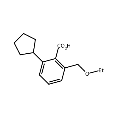 CCOCc1cccc(C2CCCC2)c1C(=O)O